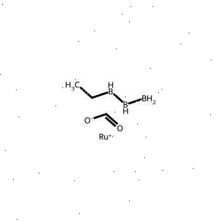 BBBCC.O=C[O-].[Ru+]